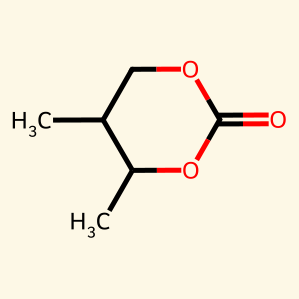 CC1COC(=O)OC1C